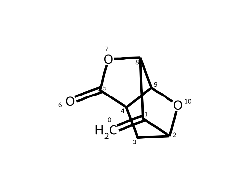 C=C1C2CC3C(=O)OC1C3O2